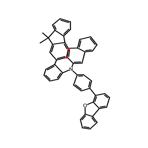 CC1(C)c2ccccc2-c2ccc(-c3ccccc3N(c3ccc(-c4cccc5c4oc4ccccc45)cc3)c3ccc4ccccc4c3)cc21